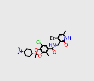 CCc1cc(C)[nH]c(=O)c1CNC(=O)c1cc(Cl)c2c(c1C)OC(C)([C@H]1CC[C@H](N(C)C)CC1)O2